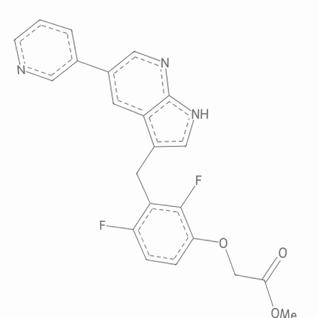 COC(=O)COc1ccc(F)c(Cc2c[nH]c3ncc(-c4cccnc4)cc23)c1F